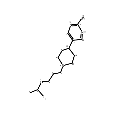 CC(I)OCCCN1CCC(c2cnc(C(C)C)nc2)CC1